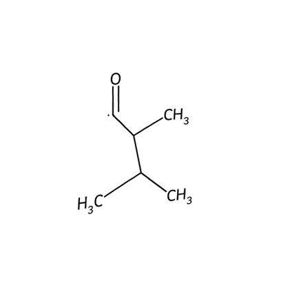 CC(C)C(C)[C]=O